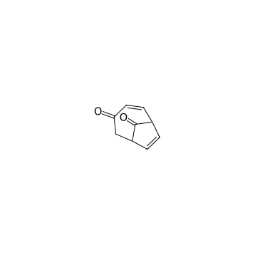 O=C1C=CC2C=CC(C1)C2=O